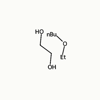 CCCCOCC.OCCO